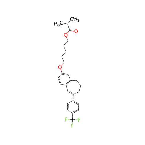 CC(C)C(=O)OCCCCCOc1ccc2c(c1)CCCC(c1ccc(C(F)(F)F)cc1)=C2